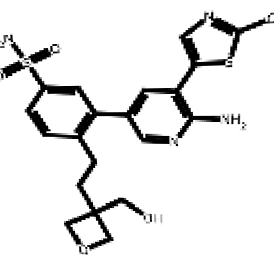 Cc1ncc(-c2cc(-c3cc(S(N)(=O)=O)ccc3CCC3(CO)COC3)cnc2N)s1